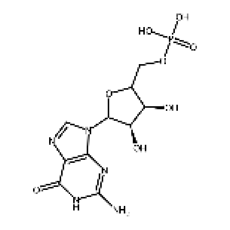 Nc1nc2c(ncn2C2OC(COP(=O)(O)O)[C@@H](O)[C@H]2O)c(=O)[nH]1